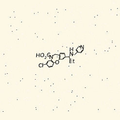 CCC(NCc1ccncc1)c1ccc2c(c1)Oc1ccc(Cl)cc1N(C(=O)O)C2